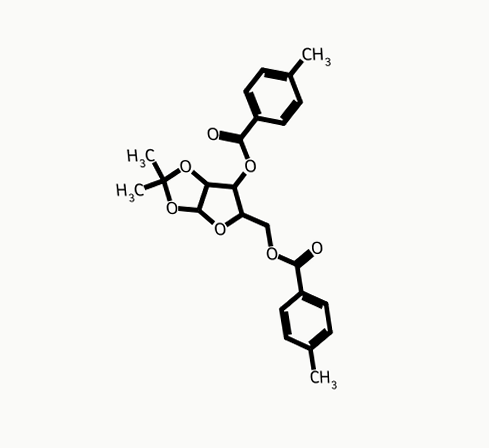 Cc1ccc(C(=O)OCC2OC3OC(C)(C)OC3C2OC(=O)c2ccc(C)cc2)cc1